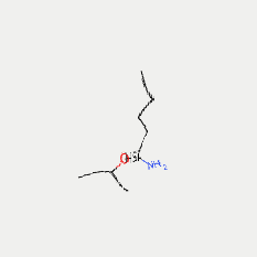 CCCC[SiH](N)OC(C)C